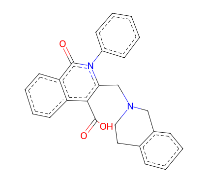 O=C(O)c1c(CN2CCc3ccccc3C2)n(-c2ccccc2)c(=O)c2ccccc12